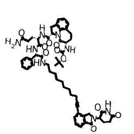 CC(C)(C)OC(=O)N[C@H]1CCc2cccc3c2N(C1=O)[C@H](C(=O)N[C@@H](CCC(N)=O)C(=O)N[C@H](C(=O)NCCCCCCCCCC#Cc1cccc2c1CN(C1CCC(=O)NC1=O)C2=O)c1ccccc1)C3